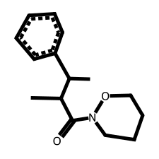 CC(C(=O)N1CCCCO1)C(C)c1ccccc1